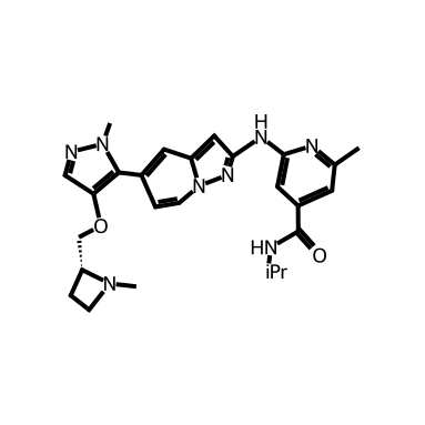 Cc1cc(C(=O)NC(C)C)cc(Nc2cc3cc(-c4c(OC[C@H]5CCN5C)cnn4C)ccn3n2)n1